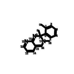 Cc1ccccc1C1(C)N=c2ncccc2=CN1C